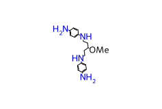 COC(CCNc1ccc(N)cc1)CCNc1ccc(N)cc1